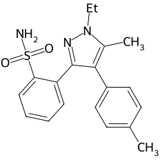 CCn1nc(-c2ccccc2S(N)(=O)=O)c(-c2ccc(C)cc2)c1C